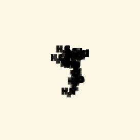 Cc1sc2c(c1C)C(c1ccc(Cl)cc1)=N[C@@H](CC(=O)N1CCC(C(=O)NCCCN)CC1)c1nnc(C)n1-2